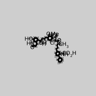 COc1cc(OCC(=O)N(C)CCCc2ccc(-c3ccccc3)c(NC(=O)O)c2)c(Cl)cc1CNCC(O)c1ccc(O)c2[nH]c(=O)ccc12.Cl.Cl